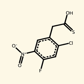 O=[N+]([O-])c1cc(CC(O)=S)c(Cl)cc1F